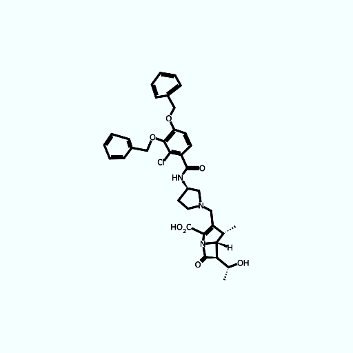 C[C@@H](O)[C@H]1C(=O)N2C(C(=O)O)=C(CN3CC[C@@H](NC(=O)c4ccc(OCc5ccccc5)c(OCc5ccccc5)c4Cl)C3)[C@H](C)[C@H]12